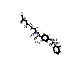 Cc1ccccc1NC(=O)Nc1ccc(N(N)/C=C(\N)CCOC(=O)CC(C)C)cc1